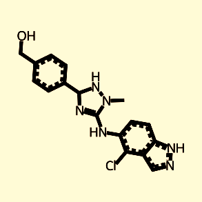 CN1NC(c2ccc(CO)cc2)N=C1Nc1ccc2[nH]ncc2c1Cl